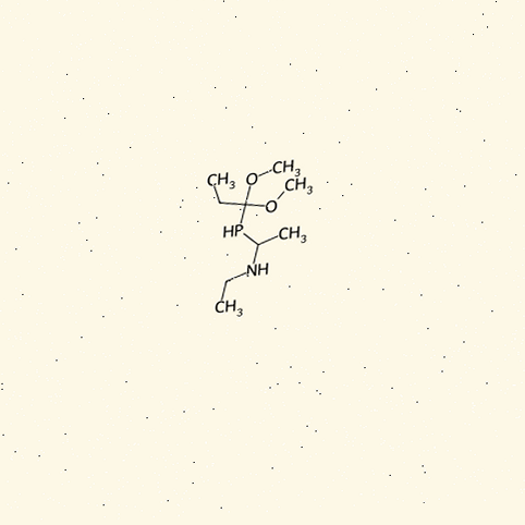 CCNC(C)PC(CC)(OC)OC